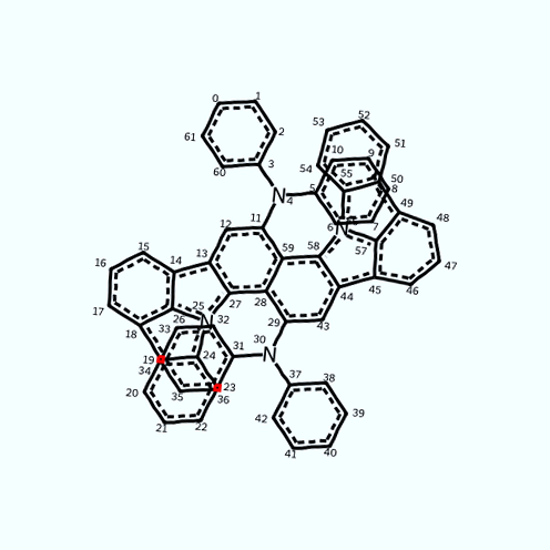 c1ccc(N(c2ccccc2)c2cc3c4cccc5c6ccccc6n(c54)c3c3c(N(c4ccccc4)c4ccccc4)cc4c5cccc6c7ccccc7n(c65)c4c23)cc1